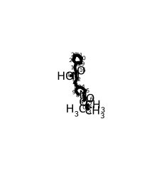 CC(C)(C)OC(=O)N1CCC(CCN(O)C(=O)Cc2ccccc2)CC1